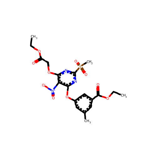 CCOC(=O)COc1nc(S(C)(=O)=O)nc(Oc2cc(C)cc(C(=O)OCC)c2)c1[N+](=O)[O-]